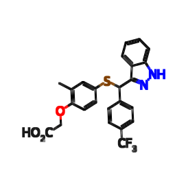 Cc1cc(SC(c2ccc(C(F)(F)F)cc2)c2n[nH]c3ccccc23)ccc1OCC(=O)O